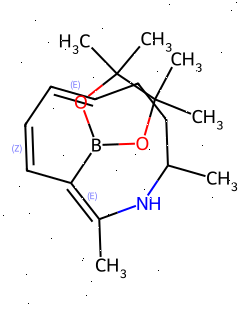 C\C1=C(B2OC(C)(C)C(C)(C)O2)/C=C\C=C\CCC(C)N1